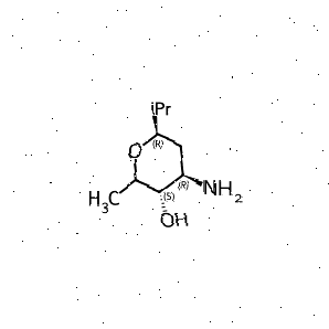 CC1O[C@@H](C(C)C)C[C@@H](N)[C@@H]1O